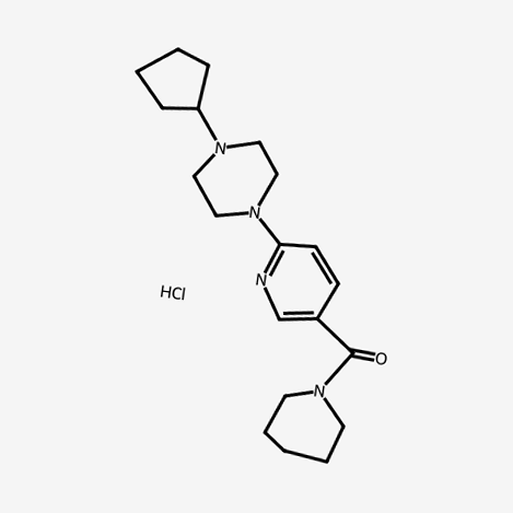 Cl.O=C(c1ccc(N2CCN(C3CCCC3)CC2)nc1)N1CCCCC1